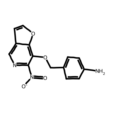 Nc1ccc(COc2c([N+](=O)[O-])ncc3ccoc23)cc1